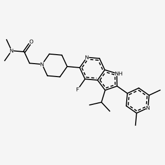 Cc1cc(-c2[nH]c3cnc(C4CCN(CC(=O)N(C)C)CC4)c(F)c3c2C(C)C)cc(C)n1